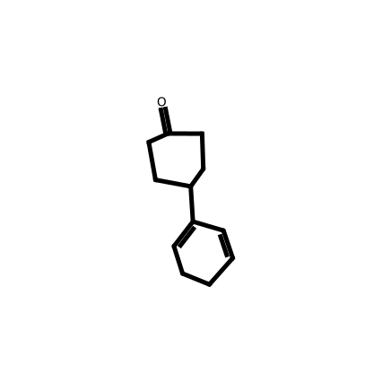 O=C1CCC(C2=CCCC=C2)CC1